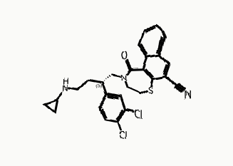 N#Cc1cc2ccccc2c2c1SCCN(C[C@@H](CCNC1CC1)c1ccc(Cl)c(Cl)c1)C2=O